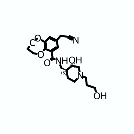 N#CCc1cc2c(c(C(=O)NC[C@@H]3CCN(CCCO)C[C@H]3O)c1)OCCCO2